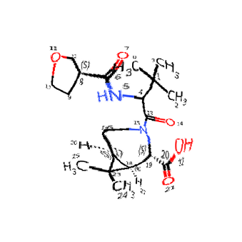 CC(C)(C)C(NC(=O)[C@H]1CCOC1)C(=O)N1C[C@H]2[C@@H]([C@H]1C(=O)O)C2(C)C